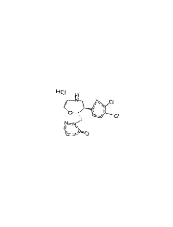 Cl.O=c1cccnn1C[C@@H]1OCCNC[C@H]1c1ccc(Cl)c(Cl)c1